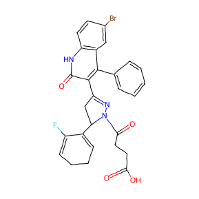 O=C(O)CCC(=O)N1N=C(c2c(-c3ccccc3)c3cc(Br)ccc3[nH]c2=O)CC1C1=CCCC=C1F